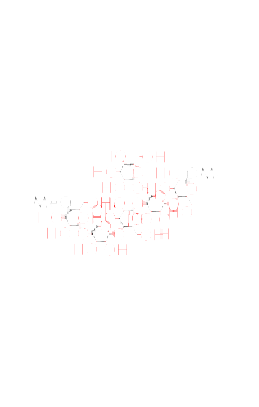 CO[C@@H]1OC(CO)[C@@H](O[C@H]2O[C@@H](CO[C@H]3O[C@@H](CO)[C@H](O)C(O)C3O)[C@@H](O[C@@H]3OC(CO)[C@@H](O[C@H]4O[C@@H](CO)[C@@H](O[C@@H]5OC(CO)[C@@H](OC)[C@@H](O)C5O)C(O)C4O)C(O)C3O)C(O)C2O)C(O)C1O